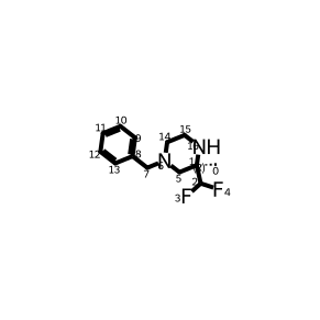 C[C@]1(C(F)F)CN(Cc2ccccc2)CCN1